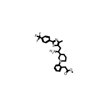 COC(=O)Cc1ccccc1N1CCCC(C(N)Cc2sc(-c3ccc(C(F)(F)F)cc3)nc2C)C1